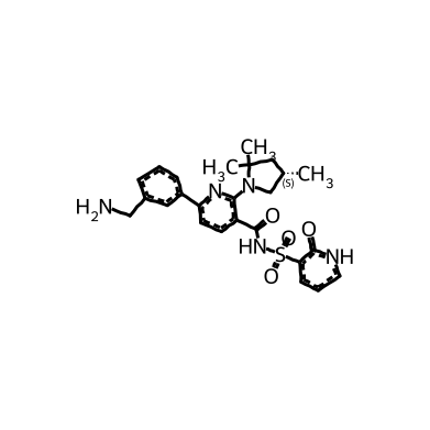 C[C@@H]1CN(c2nc(-c3cccc(CN)c3)ccc2C(=O)NS(=O)(=O)c2ccc[nH]c2=O)C(C)(C)C1